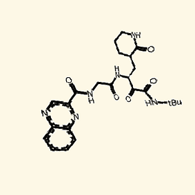 CC(C)(C)NC(=O)C(=O)[C@H](CC1CCCNC1=O)NC(=O)CNC(=O)c1cnc2ccccc2n1